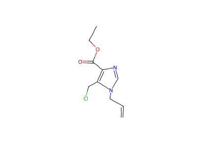 C=CCn1cnc(C(=O)OCC)c1CCl